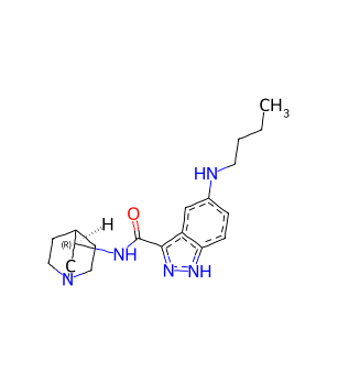 CCCCNc1ccc2[nH]nc(C(=O)N[C@H]3CN4CCC3CC4)c2c1